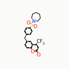 O=c1cc(C(F)(F)F)c2cc(Cc3ccc(S(=O)(=O)N4CCCCCC4)cc3)ccc2o1